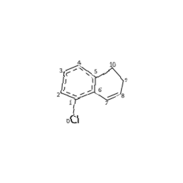 Clc1cccc2c1C=CCC2